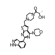 C[C@H](O)C(=O)N1CCN(Cc2cc3c(N4CCOCC4)nc(-c4cccc5[nH]ncc45)nc3s2)CC1